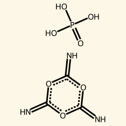 N=c1oc(=N)oc(=N)o1.O=P(O)(O)O